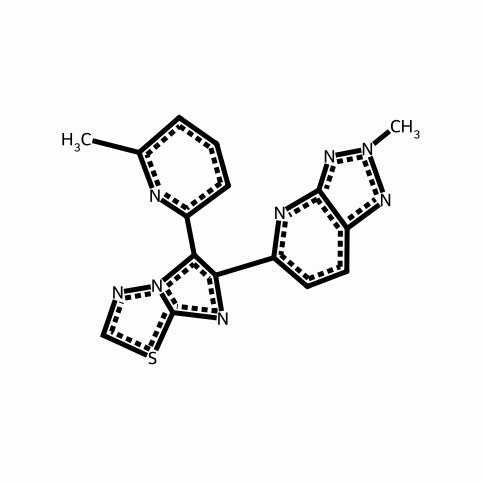 Cc1cccc(-c2c(-c3ccc4nn(C)nc4n3)nc3scnn23)n1